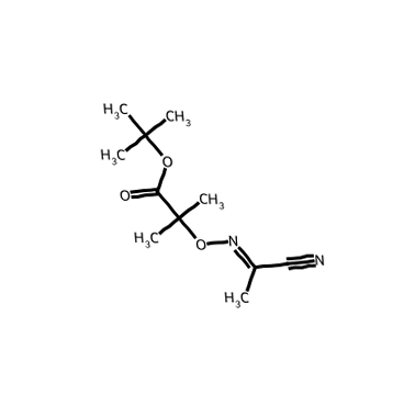 C/C(C#N)=N\OC(C)(C)C(=O)OC(C)(C)C